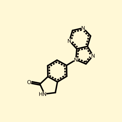 O=C1NCc2cc(-n3cnc4cncnc43)ccc21